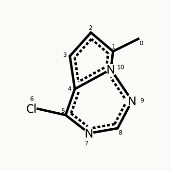 Cc1ccc2c(Cl)ncnn12